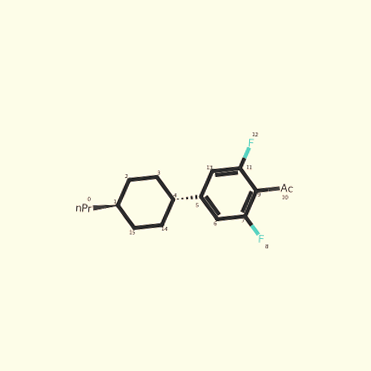 CCC[C@H]1CC[C@H](c2cc(F)c(C(C)=O)c(F)c2)CC1